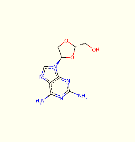 Nc1nc(N)c2ncn([C@H]3CO[C@H](CO)O3)c2n1